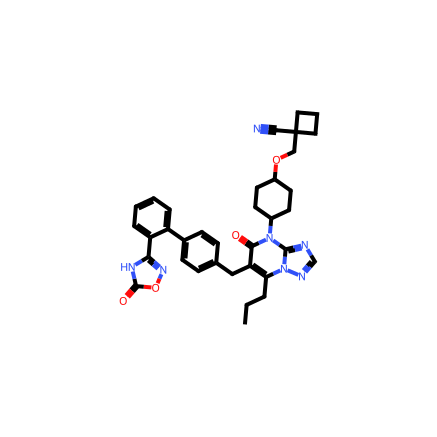 CCCc1c(Cc2ccc(-c3ccccc3-c3noc(=O)[nH]3)cc2)c(=O)n(C2CCC(OCC3(C#N)CCC3)CC2)c2ncnn12